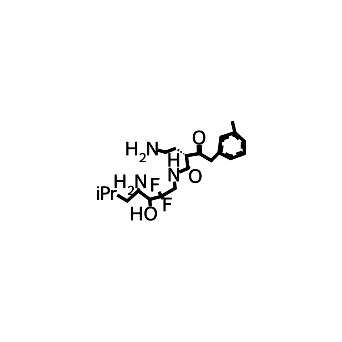 Cc1cccc(CC(=O)[C@@H](CCN)C(=O)NCC(F)(F)C(O)C(N)CC(C)C)c1